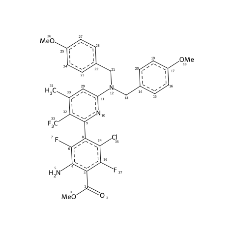 COC(=O)c1c(N)c(F)c(-c2nc(N(Cc3ccc(OC)cc3)Cc3ccc(OC)cc3)cc(C)c2C(F)(F)F)c(Cl)c1F